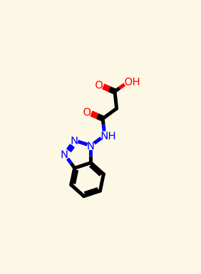 O=C(O)CC(=O)Nn1nnc2ccccc21